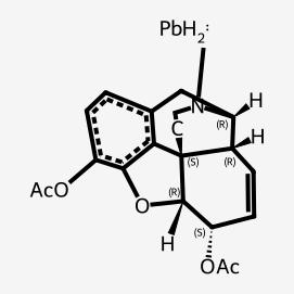 CC(=O)Oc1ccc2c3c1O[C@H]1[C@@H](OC(C)=O)C=C[C@H]4[C@@H](C2)N(C)CC[C@@]341.[PbH2]